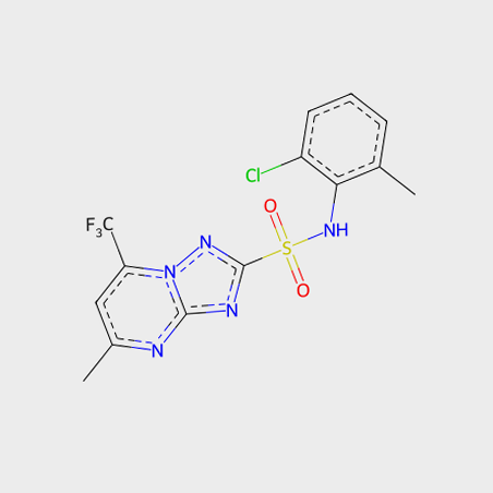 Cc1cc(C(F)(F)F)n2nc(S(=O)(=O)Nc3c(C)cccc3Cl)nc2n1